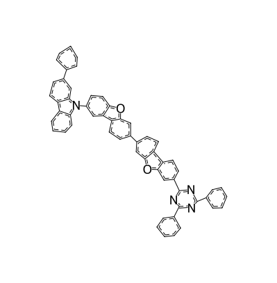 c1ccc(-c2ccc3c4ccccc4n(-c4ccc5oc6cc(-c7ccc8c(c7)oc7cc(-c9nc(-c%10ccccc%10)nc(-c%10ccccc%10)n9)ccc78)ccc6c5c4)c3c2)cc1